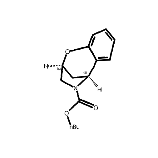 CCCCOC(=O)N1C[C@@H]2C[C@H]1c1ccccc1O2